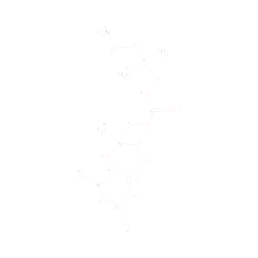 CC(C)(COC(=O)OCC1(C(F)(F)F)C=Cc2cc(Cl)cc(Cl)c2O1)CO[N+](=O)[O-]